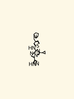 C1=CSC(Nc2nc(C3CC3)cn3c(-c4cn[nH]c4)cnc23)=CC=1CN1C2CCC1CC2